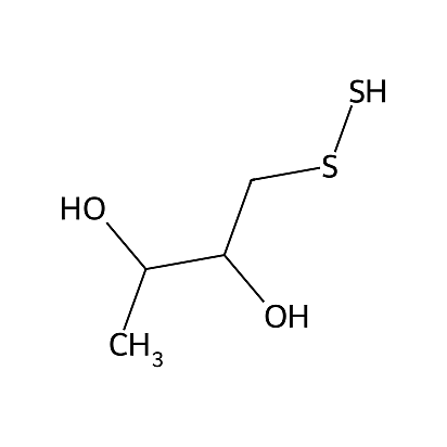 CC(O)C(O)CSS